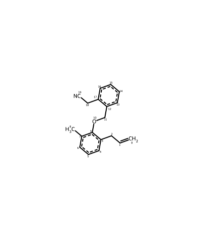 C=CCc1cccc(C)c1OCc1ccccc1CC#N